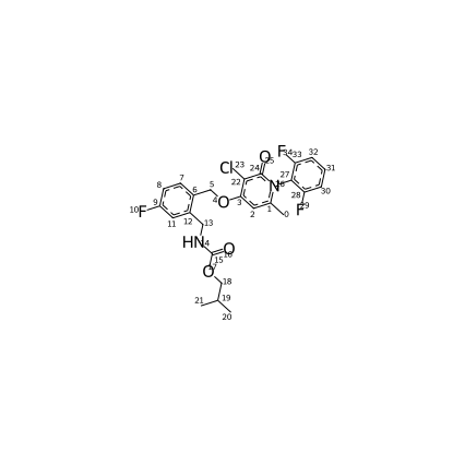 Cc1cc(OCc2ccc(F)cc2CNC(=O)OCC(C)C)c(Cl)c(=O)n1-c1c(F)cccc1F